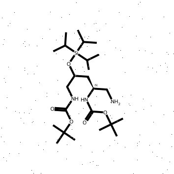 CC(C)[Si](OC(CNC(=O)OC(C)(C)C)C[C@@H](CN)NC(=O)OC(C)(C)C)(C(C)C)C(C)C